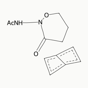 CC(=O)NN1OCCCC1=O.c1cc2ccc1-2